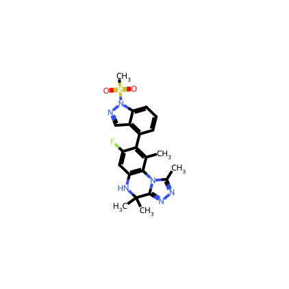 Cc1c(-c2cccc3c2cnn3S(C)(=O)=O)c(F)cc2c1-n1c(C)nnc1C(C)(C)N2